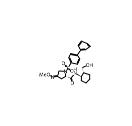 CON=C1C[C@@H](C(=O)N[C@@H]2CCCC[C@H]2CO)N(S(=O)(=O)c2ccc(-c3ccccc3)cc2)C1